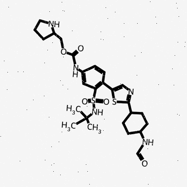 CC(C)(C)NS(=O)(=O)c1cc(NC(=O)OCC2CCCN2)ccc1-c1cnc(C2CCC(NC=O)CC2)s1